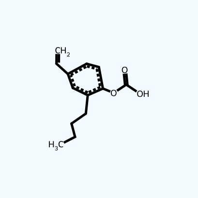 C=Cc1ccc(OC(=O)O)c(CCCC)c1